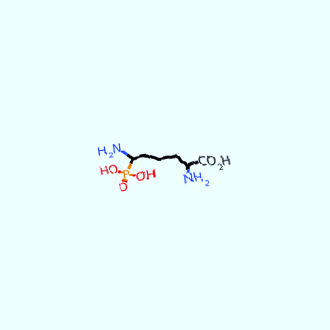 NC(CCCC(N)P(=O)(O)O)C(=O)O